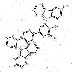 N#Cc1ccc2c(c1)c1ccccc1n2-c1cc(-c2ccc(-c3ccccc3-n3c4ccccc4c4ccccc43)cc2)cc(C#N)c1C#N